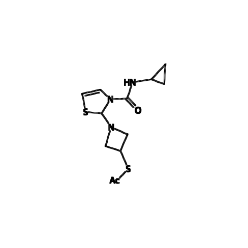 CC(=O)SC1CN(C2SC=CN2C(=O)NC2CC2)C1